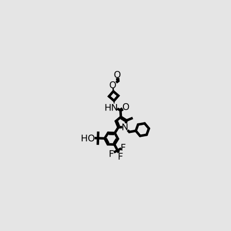 Cc1c(C(=O)N[C@H]2C[C@H](OC=O)C2)cc(-c2cc(C(C)(C)O)cc(C(F)(F)F)c2)n1CC1CCCCC1